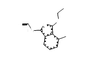 CCOc1oc(NC=O)c2cccc(C)c12